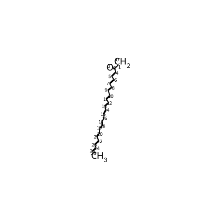 C=CC(=O)C=CC=CC=CC=CC=CC=CCC=CCC=CC=CC=CC